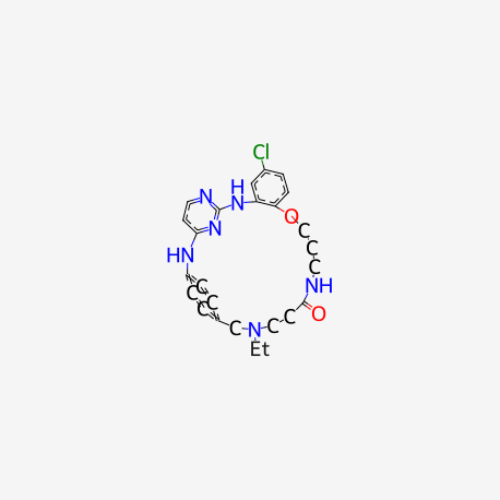 CCN1CCC(=O)NCCCOc2ccc(Cl)cc2Nc2nccc(n2)Nc2ccc(cc2)C1